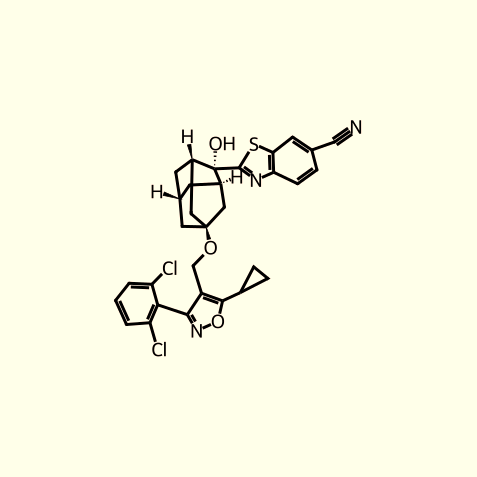 N#Cc1ccc2nc([C@@]3(O)[C@@H]4C[C@H]5C[C@H]3C[C@@](OCc3c(-c6c(Cl)cccc6Cl)noc3C3CC3)(C5)C4)sc2c1